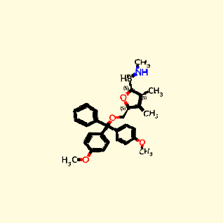 CNB[C@@H]1O[C@H](COC(c2ccccc2)(c2ccc(OC)cc2)c2ccc(OC)cc2)C(C)[C@@H]1C